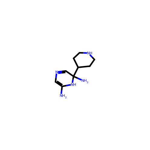 NC1=CN=CC(N)(C2CCNCC2)N1